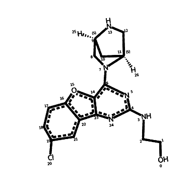 OCCNc1nc(N2C[C@@H]3C[C@H]2CN3)c2oc3ccc(Cl)cc3c2n1